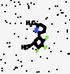 C#Cc1cc(-c2cccc(C)n2)c(F)c(F)c1F